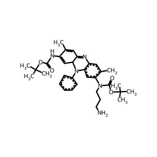 CC1=CC2=Nc3cc(C)c(N(CCCN)C(=O)OC(C)(C)C)cc3N(c3ccccc3)C2C=C1NC(=O)OC(C)(C)C